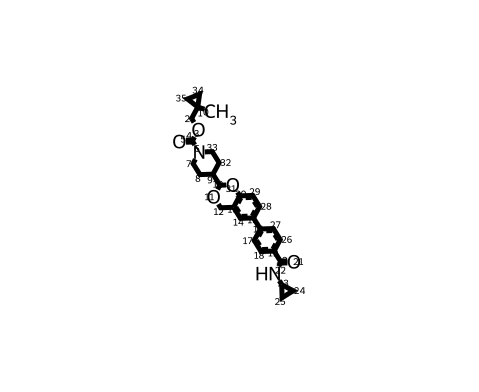 CC1(COC(=O)N2CCC(C3OCc4cc(-c5ccc(C(=O)NC6CC6)cc5)ccc4O3)CC2)CC1